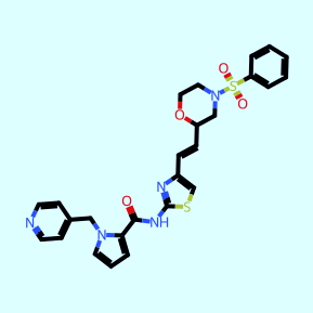 O=C(Nc1nc(C=CC2CN(S(=O)(=O)c3ccccc3)CCO2)cs1)c1cccn1Cc1ccncc1